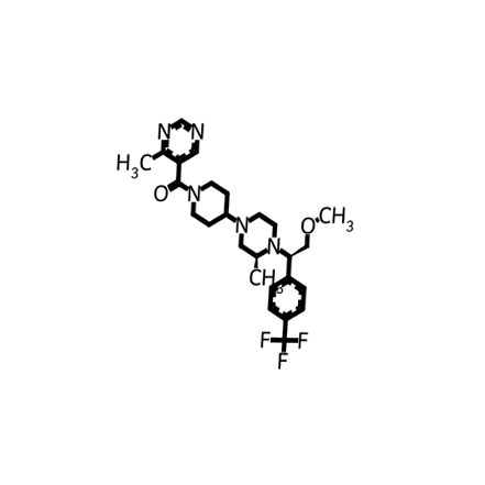 COC[C@@H](c1ccc(C(F)(F)F)cc1)N1CCN(C2CCN(C(=O)c3cncnc3C)CC2)C[C@@H]1C